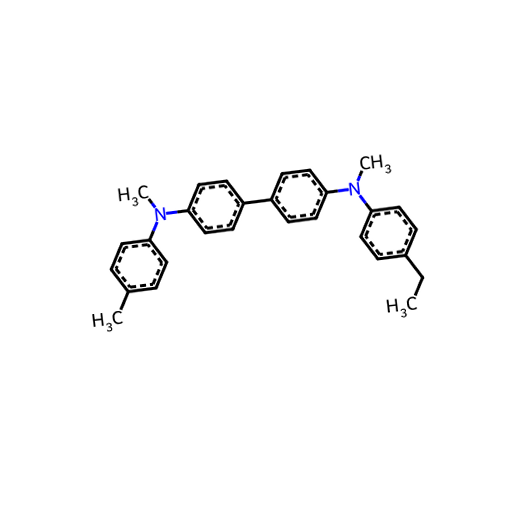 CCc1ccc(N(C)c2ccc(-c3ccc(N(C)c4ccc(C)cc4)cc3)cc2)cc1